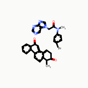 CC(C)c1ccc(N(C)C(=O)Cn2cnc3ncncc32)cc1.CC1C(=O)CC=c2c1ccc1c2=CC(=O)c2ccccc2-1